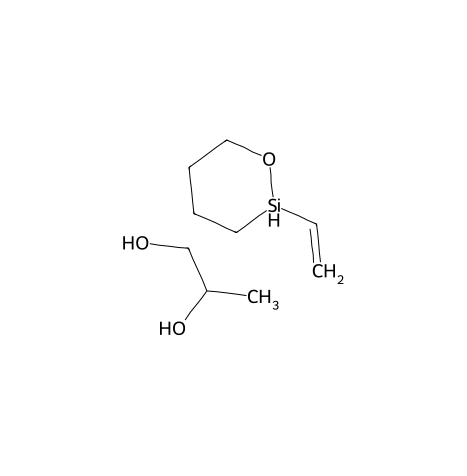 C=C[SiH]1CCCCO1.CC(O)CO